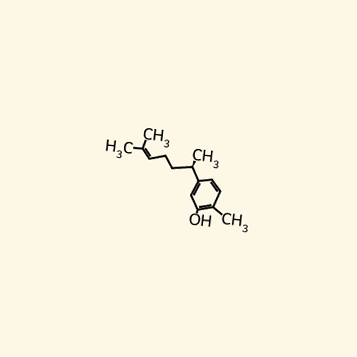 CC(C)=CCC[C@@H](C)c1ccc(C)c(O)c1